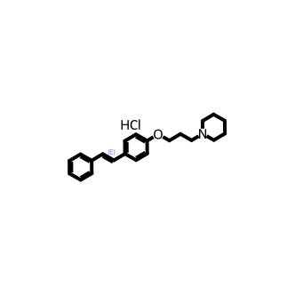 C(=C\c1ccc(OCCCN2CCCCC2)cc1)/c1ccccc1.Cl